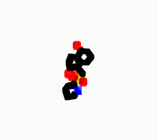 O=C1CCCc2c1ccc(O)c2CS(=O)(=O)c1ccccn1